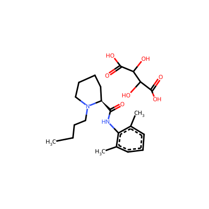 CCCCN1CCCC[C@H]1C(=O)Nc1c(C)cccc1C.O=C(O)C(O)C(O)C(=O)O